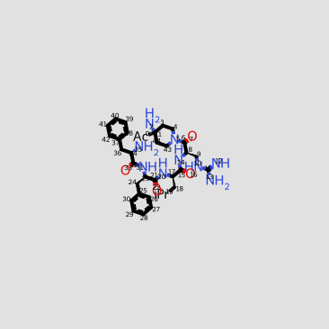 CC(=O)C1(N)CCN(C(=O)[C@@H](CNC(=N)N)NC(=O)[C@@H](CC(C)C)NC(=O)[C@@H](Cc2ccccc2)NC(=O)[C@H](N)Cc2ccccc2)CC1